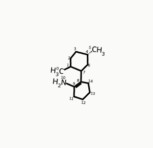 CC1CC[C@H](C)CC1C1=C(N)CCCC1